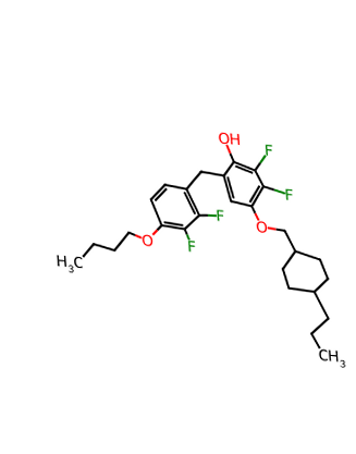 CCCCOc1ccc(Cc2cc(OCC3CCC(CCC)CC3)c(F)c(F)c2O)c(F)c1F